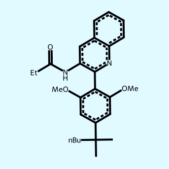 CCCCC(C)(C)c1cc(OC)c(-c2nc3ccccc3cc2NC(=O)CC)c(OC)c1